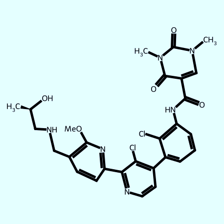 COc1nc(-c2nccc(-c3cccc(NC(=O)c4cn(C)c(=O)n(C)c4=O)c3Cl)c2Cl)ccc1CNC[C@@H](C)O